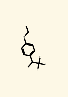 [CH2]C(c1ccc(OCC)cc1)C(F)(F)F